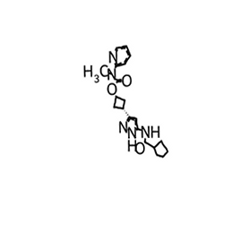 CN(C(=O)O[C@H]1C[C@@H](c2cc(NC(=O)C3CCCC3)[nH]n2)C1)c1ccccn1